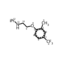 Cc1cc(C(F)(F)F)ccc1OCCNC(C)C